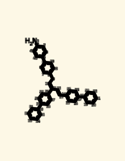 Nc1ccc(-c2ccc(C/C=C(\C=C\c3ccc(-c4ccccc4)cc3)c3ccc(-c4ccccc4)cc3)cc2)cc1